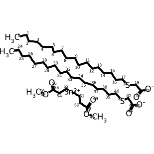 CCCCCCCCCCCCCCCCCCSCC(=O)[O-].CCCCCCCCCCCCCCCCCCSCC(=O)[O-].COC(=O)C[CH2][Sn+2][CH2]CC(=O)OC